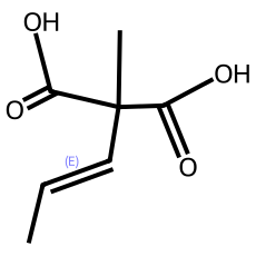 C/C=C/C(C)(C(=O)O)C(=O)O